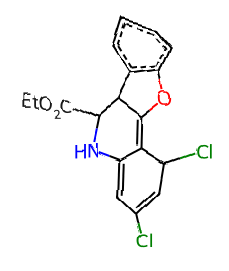 CCOC(=O)C1NC2=CC(Cl)=CC(Cl)C2=C2Oc3ccccc3C21